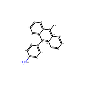 Cc1c2ccccc2c(-c2ccc(N)cc2)c2ccccc12